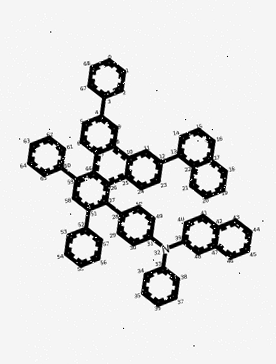 c1ccc(-c2ccc3c(c2)c2cc(-c4cccc5ccccc45)ccc2c2c(-c4ccc(N(c5ccccc5)c5ccc6ccccc6c5)cc4)c(-c4ccccc4)cc(-c4ccccc4)c32)cc1